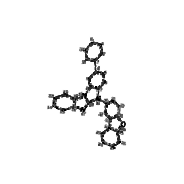 c1ccc(-c2ccc3c(c2)n2c4ccccc4nc2n3-c2ccc3oc4ccccc4c3c2)cc1